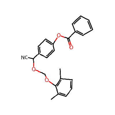 Cc1cccc(C)c1OCOC(C#N)c1ccc(OC(=O)c2ccccc2)cc1